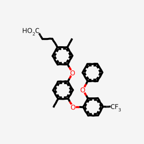 Cc1cc(Oc2ccc(C)c(Oc3ccc(C(F)(F)F)cc3Oc3ccccc3)c2)ccc1CCC(=O)O